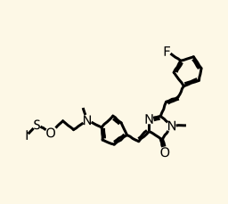 CN1C(=O)/C(=C/c2ccc(N(C)CCOSI)cc2)N=C1/C=C/c1cccc(F)c1